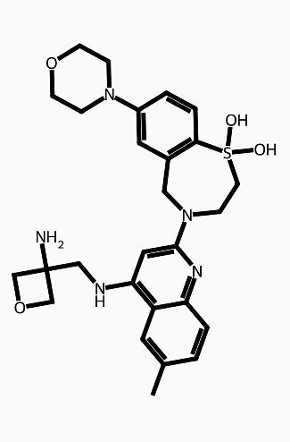 Cc1ccc2nc(N3CCS(O)(O)c4ccc(N5CCOCC5)cc4C3)cc(NCC3(N)COC3)c2c1